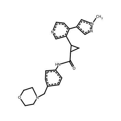 Cn1cc(-c2ccncc2C2CC2C(=O)Nc2ccc(CN3CCOCC3)cc2)cn1